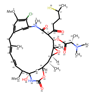 COc1cc2cc(c1Cl)N(C)C(=O)C(C(=O)CCC(C)S)[C@H](OC(=O)[C@H](C)N(C)C(C)=O)[C@]1(C)O[C@H]1[C@H](C)[C@@H]1C[C@@](O)(NC(=O)O1)C(OC)/C=C/C=C(\C)C2